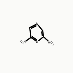 O=[N+]([O-])c1cncc([N+](=O)[O-])n1